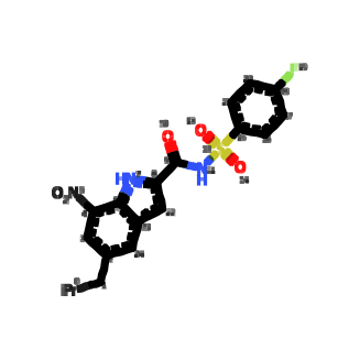 CC(C)Cc1cc([N+](=O)[O-])c2[nH]c(C(=O)NS(=O)(=O)c3ccc(F)cc3)cc2c1